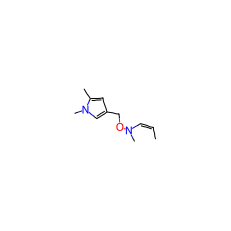 C/C=C\N(C)OCc1cc(C)n(C)c1